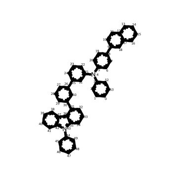 c1ccc(N(c2ccc(-c3ccc4ccccc4c3)cc2)c2cccc(-c3cccc(-c4cccc5c4c4ccccc4n5-c4ccccc4)c3)c2)cc1